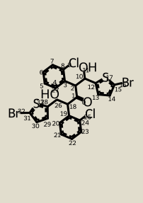 O=C(C(c1ccccc1Cl)C(O)c1ccc(Br)s1)C(c1ccccc1Cl)C(O)c1ccc(Br)s1